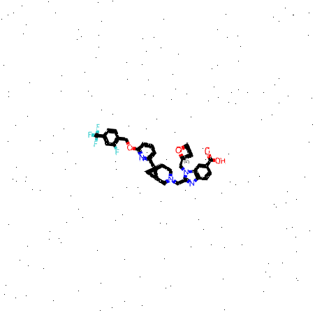 O=C(O)c1ccc2nc(CN3CCC4(c5cccc(OCc6ccc(C(F)(F)F)cc6F)n5)CC4C3)n(C[C@@H]3CCO3)c2c1